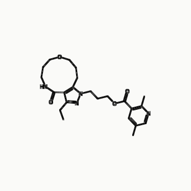 CCc1nn(CCCOC(=O)c2cc(C)cnc2C)c2c1C(=O)NCCCOCCC2